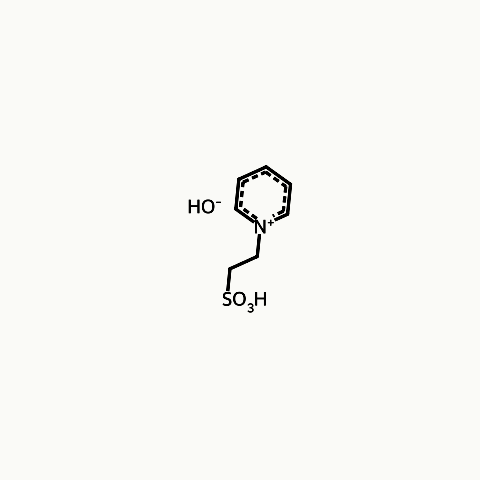 O=S(=O)(O)CC[n+]1ccccc1.[OH-]